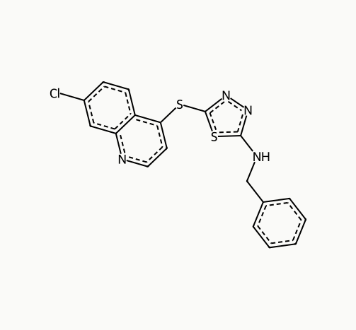 Clc1ccc2c(Sc3nnc(NCc4ccccc4)s3)ccnc2c1